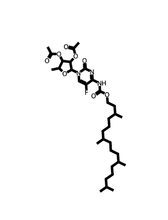 CC(=O)OC1C(C)OC(n2cc(F)c(NC(=O)OCCC(C)CCCC(C)CCCC(C)CCCC(C)C)nc2=O)C1OC(C)=O